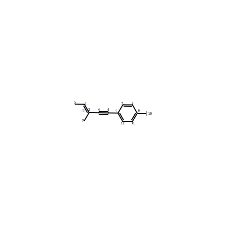 C/C=C(\C)C#Cc1ccc(I)cc1